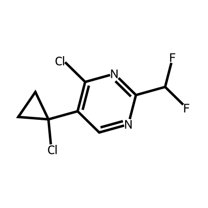 FC(F)c1ncc(C2(Cl)CC2)c(Cl)n1